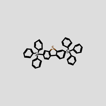 c1ccc([Si](c2ccccc2)(c2ccccc2)c2ccc3c(c2)sc2cc([Si](c4ccccc4)(c4ccccc4)c4ccccc4)ccc23)cc1